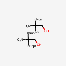 CCCCCCCCCC(CO)(CCC)[N+](=O)[O-].CCCCCCCCCC(CO)(CCCCCCC)[N+](=O)[O-]